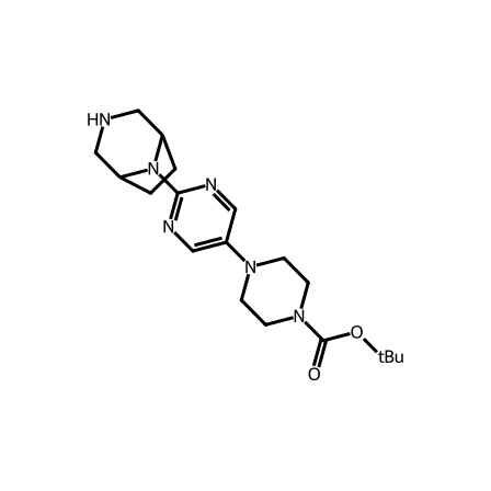 CC(C)(C)OC(=O)N1CCN(c2cnc(N3C4CCC3CNC4)nc2)CC1